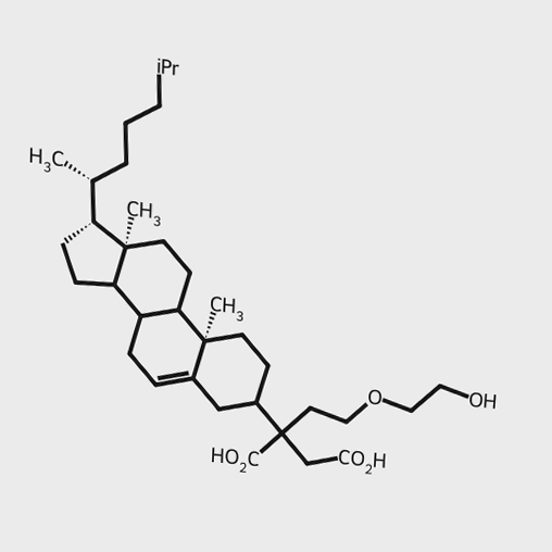 CC(C)CCC[C@@H](C)[C@H]1CCC2C3CC=C4CC(C(CCOCCO)(CC(=O)O)C(=O)O)CC[C@]4(C)C3CC[C@@]21C